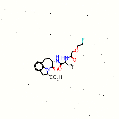 CC(C)[C@H](NC(=O)COCCF)C(=O)N[C@H]1CCc2cccc3c2N(C1=O)[C@H](C(=O)O)C3